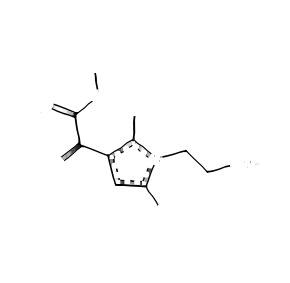 C=C(OCC)C(=O)c1cc(C)n(CCOC)c1C